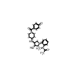 CN(C(=O)C(F)(F)F)c1ccccc1N1CC(O)C(NC2CCN(C(=O)c3ccc(Cl)cc3)CC2)C1